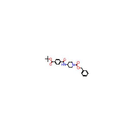 CC(C)(C)OC(=O)c1ccc(C(=O)NC2CCN(C(=O)OCc3ccccc3)CC2)cc1